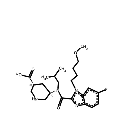 COCCCCn1c(C(=O)N(CC(C)C)[C@@H]2CNC[C@H](C(=O)O)C2)nc2ccc(F)cc21